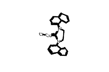 [Cl][Cu]=[C]1N(c2cccc3ccccc23)CCN1c1cccc2ccccc12